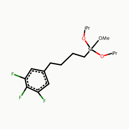 CO[Si](CCCCc1cc(F)c(F)c(F)c1)(OC(C)C)OC(C)C